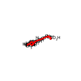 CC(C)[C@@H]1NC(=O)[C@@H](Cc2ccc(OCCCNC(=O)CCC(=O)NCCCOCCOCCOCCCNC(=O)c3ccc(N/N=C/c4ccccc4S(=O)(=O)O)nc3)cc2)NC(=O)[C@H](CC(=O)O)NC(=O)CNC(=O)[C@H](CCCNC(=N)NC(=O)C(F)(F)F)NC1=O